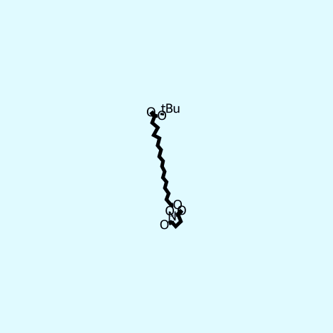 CC(C)(C)OC(=O)CCCCCCCCCCCCCCCC(=O)ON1C(=O)CCC1=O